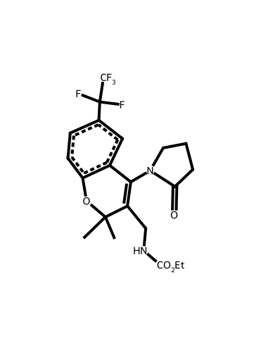 CCOC(=O)NCC1=C(N2CCCC2=O)c2cc(C(F)(F)C(F)(F)F)ccc2OC1(C)C